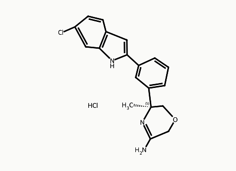 C[C@]1(c2cccc(-c3cc4ccc(Cl)cc4[nH]3)c2)COCC(N)=N1.Cl